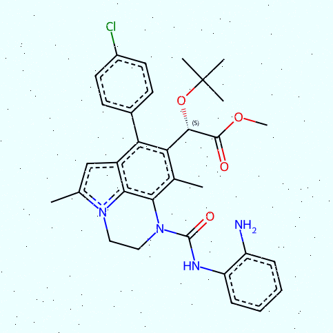 COC(=O)[C@@H](OC(C)(C)C)c1c(C)c2c3c(cc(C)n3CCN2C(=O)Nc2ccccc2N)c1-c1ccc(Cl)cc1